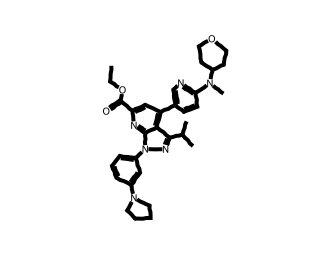 CCOC(=O)c1cc(-c2ccc(N(C)C3CCOCC3)nc2)c2c(C(C)C)nn(-c3cccc(N4CCCC4)c3)c2n1